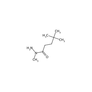 CN(N)C(=O)CCC(C)(C)C